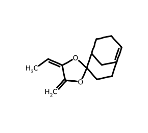 C=C1OC2(CCC3=CCCC2C3)O/C1=C/C